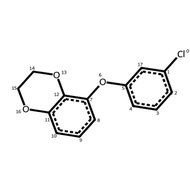 Clc1[c]ccc(Oc2cccc3c2OCCO3)c1